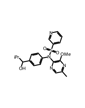 COc1nc(C)cnc1N(c1ccc(C(O)C(C)C)cc1)S(=O)(=O)c1cccnc1